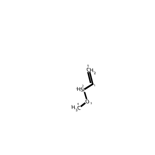 C=C[SiH]OC